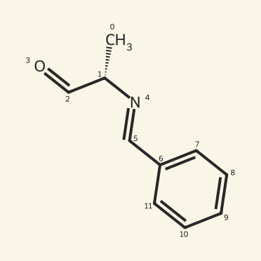 C[C@@H](C=O)/N=C/c1ccccc1